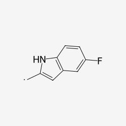 [CH2]c1cc2cc(F)ccc2[nH]1